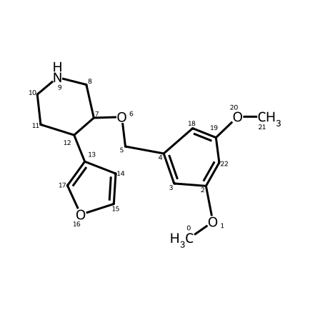 COc1cc(COC2CNCCC2c2ccoc2)cc(OC)c1